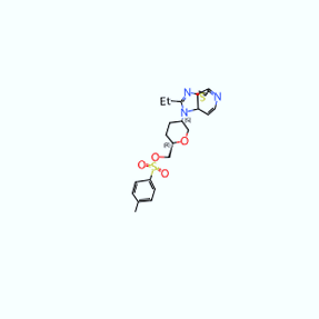 CCC1=NC23SC=CC2=NC=CC3N1[C@H]1CC[C@H](COS(=O)(=O)c2ccc(C)cc2)OC1